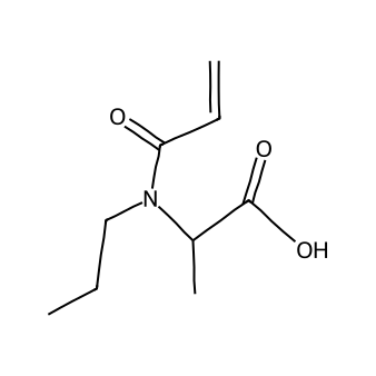 C=CC(=O)N(CCC)C(C)C(=O)O